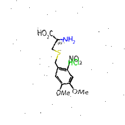 COc1cc(CSC[C@H](N)C(=O)O)c([N+](=O)[O-])cc1OC.Cl